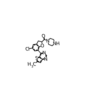 Cc1cc2ncnc(-c3cc(Cl)cc4c3OC(C(=O)N3CCNCC3)C4)c2s1